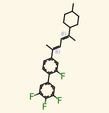 C/C(=C\C=C(/C)C1CCC(C)CC1)c1ccc(-c2cc(F)c(F)c(F)c2)c(F)c1